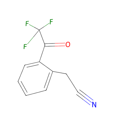 N#CCc1ccccc1C(=O)C(F)(F)F